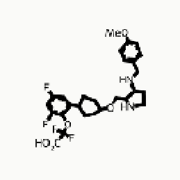 COc1ccc(CNC2CCNC2COC2CCC(c3cc(F)cc(F)c3OC(F)(F)C(=O)O)CC2)cc1